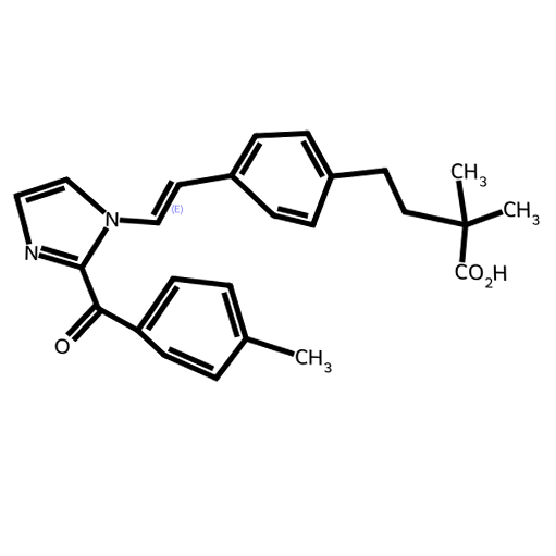 Cc1ccc(C(=O)c2nccn2/C=C/c2ccc(CCC(C)(C)C(=O)O)cc2)cc1